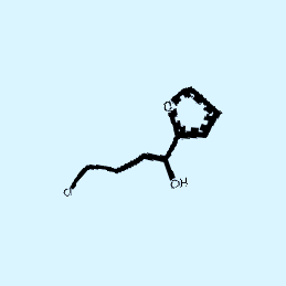 OC(CCCCl)c1ccco1